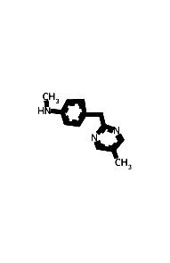 CNc1ccc(Cc2ncc(C)cn2)cc1